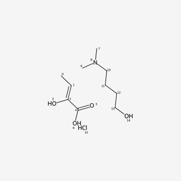 CC=C(O)C(=O)O.CN(C)CCCCO.Cl